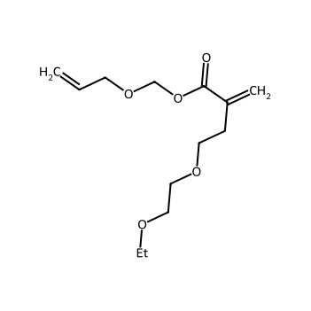 C=CCOCOC(=O)C(=C)CCOCCOCC